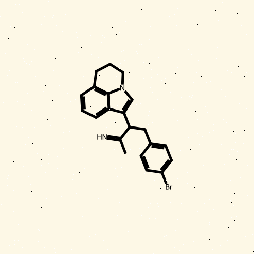 CC(=N)C(Cc1ccc(Br)cc1)c1cn2c3c(cccc13)CCC2